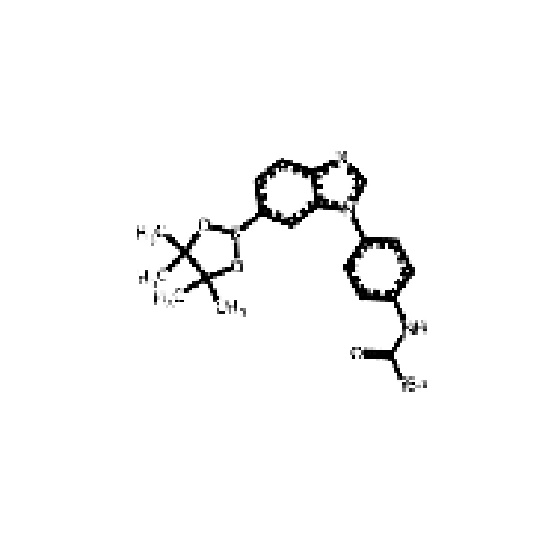 CCC(C)C(=O)Nc1ccc(-n2cnc3ccc(B4OC(C)(C)C(C)(C)O4)cc32)cc1